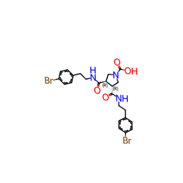 O=C(NCCc1ccc(Br)cc1)[C@H]1CN(C(=O)O)C[C@@H]1C(=O)NCCc1ccc(Br)cc1